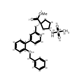 COC(=O)[C@@]1(Cc2cc(-c3ccccc3OCc3ccccc3)ccn2)CC[C@H](NS(C)(=O)=O)C1